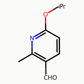 Cc1nc(OC(C)C)ccc1C=O